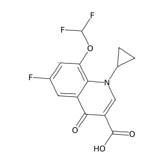 O=C(O)c1cn(C2CC2)c2c(OC(F)F)[c]c(F)cc2c1=O